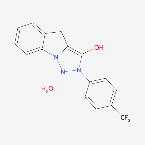 O.OC1=C2Cc3ccccc3N2[N]N1c1ccc(C(F)(F)F)cc1